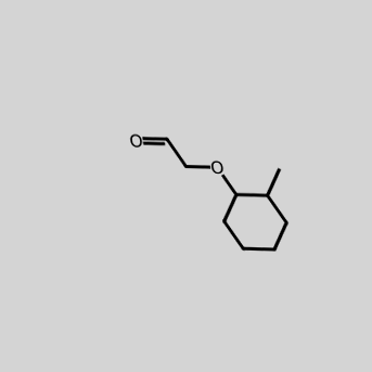 CC1CCCCC1OCC=O